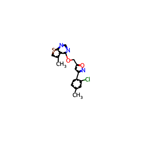 Cc1ccc(-c2cc(COc3ncnc4scc(C)c34)on2)c(Cl)c1